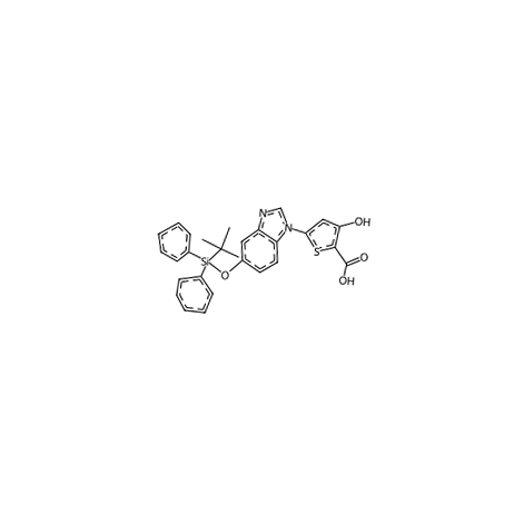 CC(C)(C)[Si](Oc1ccc2c(c1)ncn2-c1cc(O)c(C(=O)O)s1)(c1ccccc1)c1ccccc1